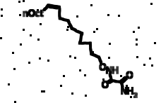 CCCCCCCC/C=C\CCCCCCCCONC(=O)C(N)=O